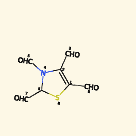 O=CC1=C(C=O)N(C=O)C(C=O)S1